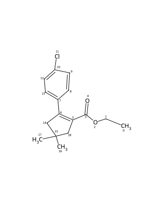 CCOC(=O)C1=C(c2ccc(Cl)cc2)CC(C)(C)C1